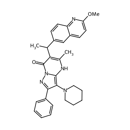 COc1ccc2cc(C(C)c3c(C)[nH]c4c(N5CCCCC5)c(-c5ccccc5)nn4c3=O)ccc2n1